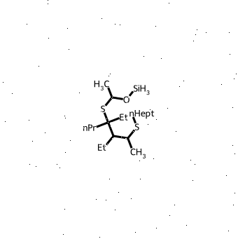 CCCCCCCSC(C)C(CC)C(CC)(CCC)SC(C)O[SiH3]